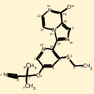 CCSc1cc(OC(C)(C)C#N)cnc1-c1ncc2c(Cl)nccn12